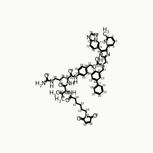 Cc1cccc(-c2nc(CN(Cc3cccc(-c4ccccc4)c3)C(=O)OCc3ccc(NC(=O)[C@H](CCCNC(N)=O)NC(=O)[C@@H](NC(=O)CCCCCN4C(=O)C=CC4=O)C(C)C)cc3)[nH]c2-c2ccc3ncnn3c2)n1